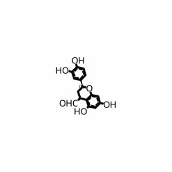 O=CC1C[C@@H](c2ccc(O)c(O)c2)Oc2cc(O)cc(O)c21